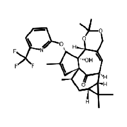 CC1=C[C@]23C(=O)[C@@H](C=C4COC(C)(C)O[C@H]4[C@]2(O)[C@H]1Oc1cccc(C(F)(F)F)n1)[C@H]1[C@@H](C[C@H]3C)C1(C)C